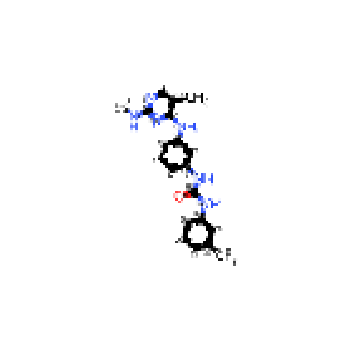 CCNc1ncc(C)c(Nc2cccc(NC(=O)Nc3cccc(C(F)(F)F)c3)c2)n1